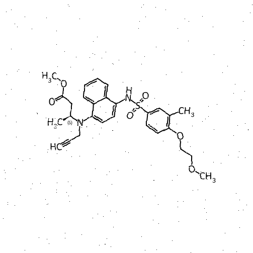 C#CCN(c1ccc(NS(=O)(=O)c2ccc(OCCOC)c(C)c2)c2ccccc12)[C@@H](C)CC(=O)OC